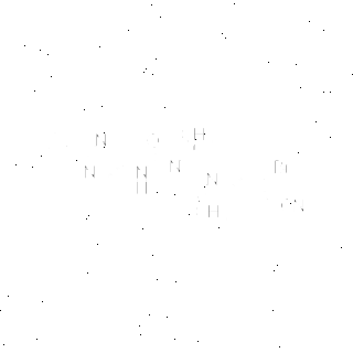 C[C@@H]1CN(c2ccc(C#N)c(Br)c2)[C@@H](C)CN1C(=O)Nc1cnc(C2CC2)nc1